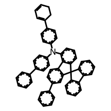 C1=CCCC(c2ccc(N(c3ccc(-c4ccccc4)cc3)c3cccc4c3-c3ccc(-c5ccccc5)cc3C43c4ccccc4-c4ccccc43)cc2)=C1